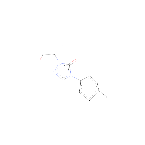 CC[C@@H]([C@@H](C)O)n1ncn(-c2ccc(C(C)C)cc2)c1=O